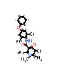 CCCCc1c(C(=O)Nc2c(CC)cc(Oc3ccccc3)cc2CC)c(=O)c(CC)c(C)n1C